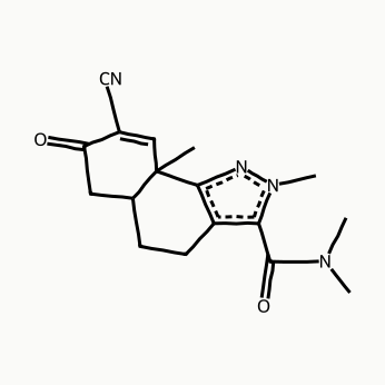 CN(C)C(=O)c1c2c(nn1C)C1(C)C=C(C#N)C(=O)CC1CC2